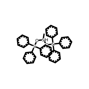 C[SiH](O[Si](c1ccccc1)(c1ccccc1)c1ccccc1)O[Si](c1ccccc1)(c1ccccc1)c1ccccc1